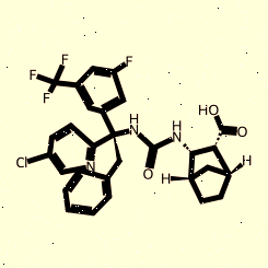 O=C(N[C@H]1[C@H]2CC[C@H](C2)[C@H]1C(=O)O)N[C@@](Cc1ccccc1)(c1cc(F)cc(C(F)(F)F)c1)c1ccc(Cl)cn1